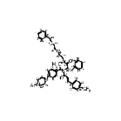 CC(=O)N1CCN(c2ccc(CN(C(=O)C=Cc3ccc(C(F)(F)F)cc3)[C@@H](Cc3ccccc3)C(=O)N(C)CCOCCOCc3ccccc3)cc2)CC1